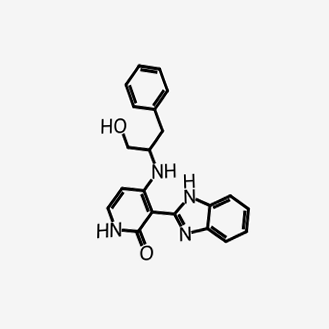 O=c1[nH]ccc(NC(CO)Cc2ccccc2)c1-c1nc2ccccc2[nH]1